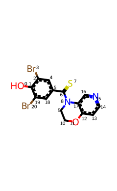 Oc1c(Br)cc(C(=S)N2CCOc3ccncc32)cc1Br